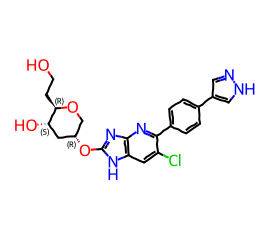 OCC[C@H]1OC[C@H](Oc2nc3nc(-c4ccc(-c5cn[nH]c5)cc4)c(Cl)cc3[nH]2)C[C@@H]1O